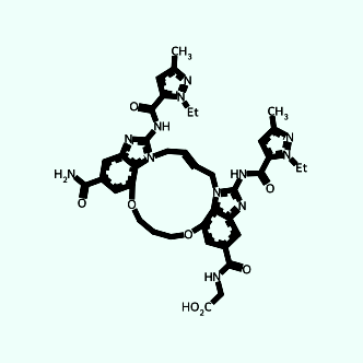 CCn1nc(C)cc1C(=O)Nc1nc2cc(C(N)=O)cc3c2n1C/C=C/Cn1c(NC(=O)c2cc(C)nn2CC)nc2cc(C(=O)NCC(=O)O)cc(c21)OCCCO3